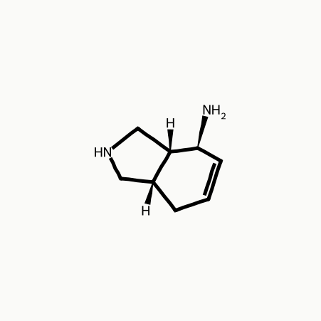 N[C@H]1C=CC[C@@H]2CNC[C@@H]21